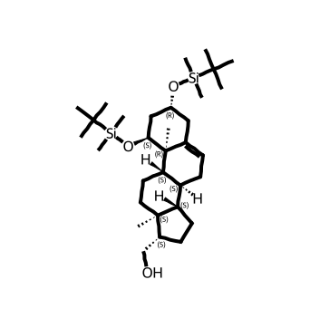 CC(C)(C)[Si](C)(C)O[C@@H]1CC2=CC[C@H]3[C@@H]4CC[C@H](CO)[C@@]4(C)CC[C@@H]3[C@@]2(C)[C@@H](O[Si](C)(C)C(C)(C)C)C1